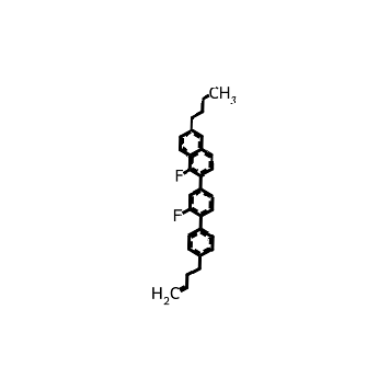 C=CCCc1ccc(-c2ccc(-c3ccc4cc(CCCC)ccc4c3F)cc2F)cc1